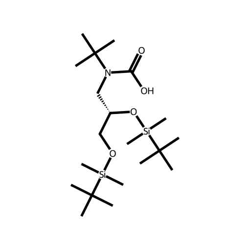 CC(C)(C)N(C[C@@H](CO[Si](C)(C)C(C)(C)C)O[Si](C)(C)C(C)(C)C)C(=O)O